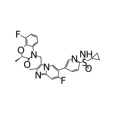 Cc1nc2cc(F)c(-c3ccc(S(=N)(=O)C4CC4)nc3)cn2c1CN1C(=O)[C@@H](C)Oc2c(F)cccc21